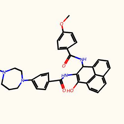 COc1ccc(C(=O)NC2C(NC(=O)c3ccc(N4CCCN(C)CC4)cc3)=C(O)c3cccc4cccc2c34)cc1